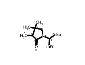 CCCCC(CCC)N1CC(C)(C)C(C)C1=O